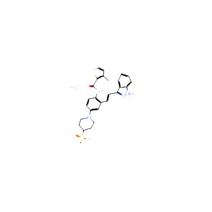 Cc1ccsc1C(=O)Nc1ccc(N2CCC(S(C)(=O)=O)CC2)cc1/C=C/c1n[nH]c2ccccc12.Cl